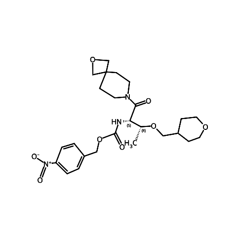 C[C@@H](OCC1CCOCC1)[C@H](NC(=O)OCc1ccc([N+](=O)[O-])cc1)C(=O)N1CCC2(CC1)COC2